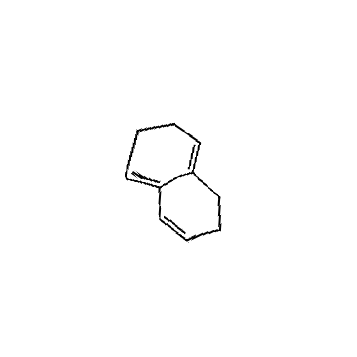 C1=CC2=CCCC=C2CC1